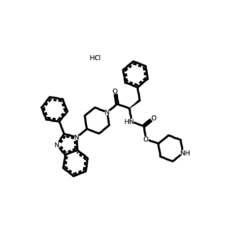 Cl.O=C(N[C@H](Cc1ccccc1)C(=O)N1CCC(n2c(-c3ccccc3)nc3ccccc32)CC1)OC1CCNCC1